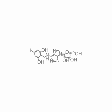 OC[C@H]1O[C@@H](n2cnc3c(NCc4c(O)cc(I)cc4O)ncnc32)[C@H](O)[C@@H]1O